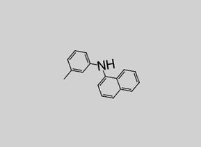 Cc1cccc(Nc2cccc3ccccc23)c1